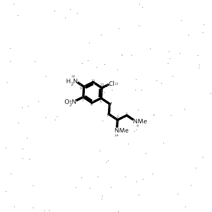 CNCC(CCc1cc([N+](=O)[O-])c(N)cc1Cl)NC